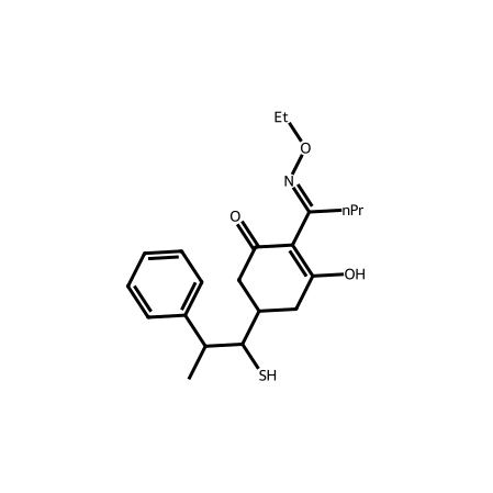 CCCC(=NOCC)C1=C(O)CC(C(S)C(C)c2ccccc2)CC1=O